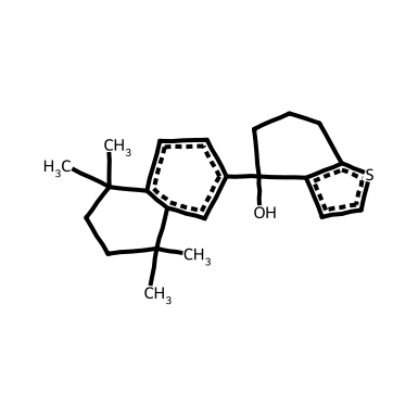 CC1(C)CCC(C)(C)c2cc(C3(O)CCCc4sccc43)ccc21